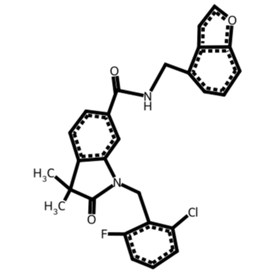 CC1(C)C(=O)N(Cc2c(F)cccc2Cl)c2cc(C(=O)NCc3cccc4occc34)ccc21